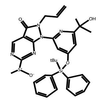 C=CCn1c(=O)c2cnc([S+](C)[O-])nc2n1-c1cc(O[Si](c2ccccc2)(c2ccccc2)C(C)(C)C)cc(C(C)(C)O)n1